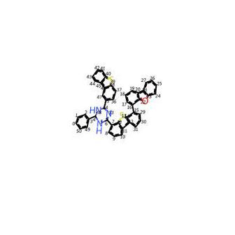 c1ccc(C2NC(c3cccc4c3sc3c(-c5cccc6c5oc5ccccc56)cccc34)=NC(c3ccc4sc5ccccc5c4c3)N2)cc1